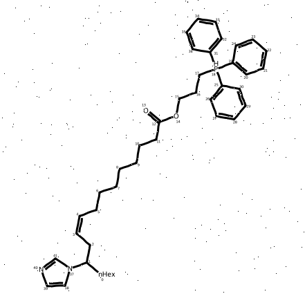 CCCCCCC(C/C=C\CCCCCCCC(=O)OCCC[PH](c1ccccc1)(c1ccccc1)c1ccccc1)n1ccnc1